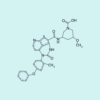 COC1CC(NC(=O)c2sc3nccc4c3c2NC(=O)N4c2ccc(Oc3ccccc3)cc2C)CN(C(=O)O)C1